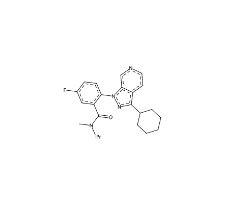 CC(C)N(C)C(=O)c1cc(F)ccc1-n1nc(C2CCCCC2)c2ccncc21